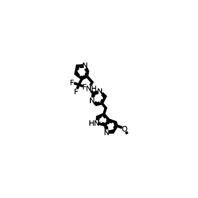 COc1cnc2[nH]cc(Cc3cnc(NCc4cnccc4C(F)(F)F)nc3)c2c1